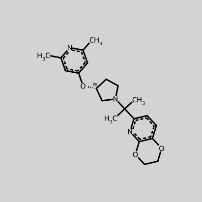 Cc1cc(O[C@@H]2CCN(C(C)(C)c3ccc4c(n3)OCCO4)C2)cc(C)n1